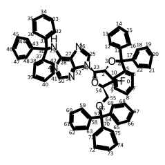 F[C@H]1[C@@H](OC(c2ccccc2)(c2ccccc2)c2ccccc2)[C@H](n2cnc3c(NC(c4ccccc4)(c4ccccc4)c4ccccc4)ncnc32)O[C@@H]1COC(c1ccccc1)(c1ccccc1)c1ccccc1